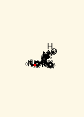 CN(C)Cc1ccc(-c2nn(C3CCCC3)c3c2Cn2nc(NC=O)cc2-3)cc1